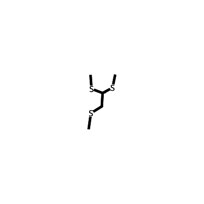 CSC[C](SC)SC